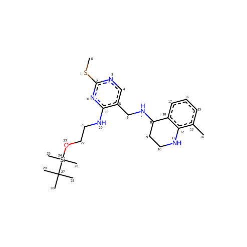 CSc1ncc(CNC2CCNc3c(C)cccc32)c(NCCO[Si](C)(C)C(C)(C)C)n1